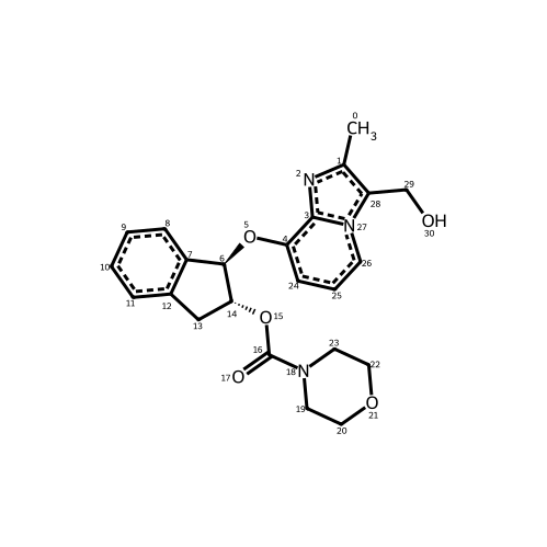 Cc1nc2c(O[C@@H]3c4ccccc4C[C@H]3OC(=O)N3CCOCC3)cccn2c1CO